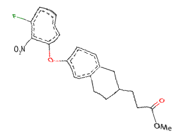 COC(=O)CCC1CCc2cc(Oc3cccc(F)c3[N+](=O)[O-])ccc2C1